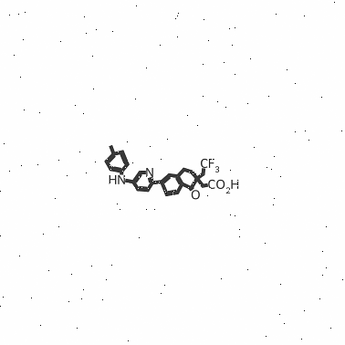 Cc1ccc(Nc2ccc(-c3ccc4c(c3)CCC(CC(=O)O)(CC(F)(F)F)C4=O)nc2)cc1